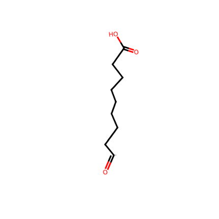 O=[C]CCCCCCCC(=O)O